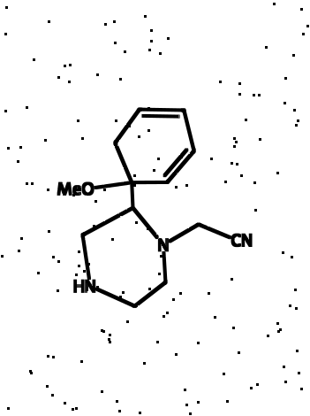 COC1(C2CNCCN2CC#N)C=CC=CC1